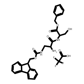 NC(CNC(=O)OCC1c2ccccc2-c2ccccc21)C(=O)NC(CO)C(=O)OCc1ccccc1.O=C(O)C(F)(F)F